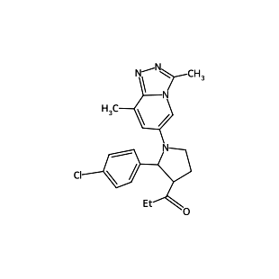 CCC(=O)C1CCN(c2cc(C)c3nnc(C)n3c2)C1c1ccc(Cl)cc1